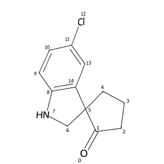 O=C1CCCC12CNc1ccc(Cl)cc12